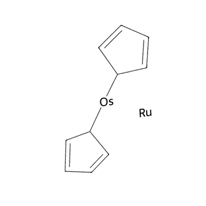 C1=C[CH]([Os][CH]2C=CC=C2)C=C1.[Ru]